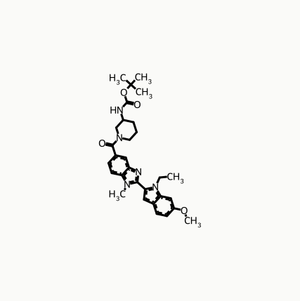 CCn1c(-c2nc3cc(C(=O)N4CCCC(NC(=O)OC(C)(C)C)C4)ccc3n2C)cc2ccc(OC)cc21